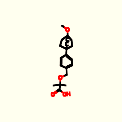 COC12CCC(c3ccc(COC(C)(C)C(=O)O)cc3)(CC1)CC2